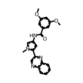 COc1cc(OC)cc(C(=O)Nc2cc(-c3cnc4ccccc4n3)n(C)c2)c1